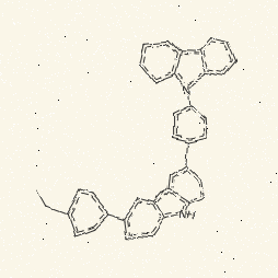 CCc1ccc(-c2ccc3[nH]c4ccc(-c5ccc(-n6c7ccccc7c7ccccc76)cc5)cc4c3c2)cc1